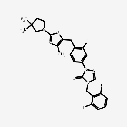 Cc1nc(N2CCC(N)(C(F)(F)F)C2)sc1Cc1ccc(-n2ncn(Cc3c(F)cccc3F)c2=O)cc1F